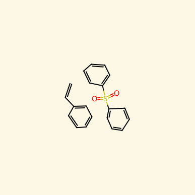 C=Cc1ccccc1.O=S(=O)(c1ccccc1)c1ccccc1